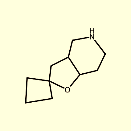 C1CC2(C1)CC1CNCCC1O2